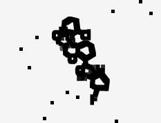 O=C(NC1(Br)C=CC=C(F)C1)c1cccc2c1OC[C@H](CO)N2c1ncccc1Cl